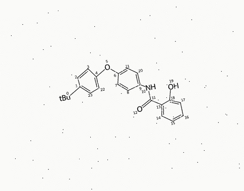 CC(C)(C)c1ccc(Oc2ccc(NC(=O)c3ccccc3O)cc2)cc1